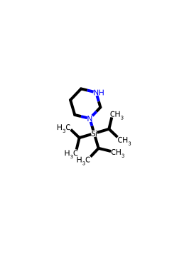 CC(C)[Si](C(C)C)(C(C)C)N1CCCNC1